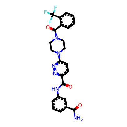 NC(=O)c1cccc(NC(=O)c2ccc(N3CCN(C(=O)c4ccccc4C(F)(F)F)CC3)nn2)c1